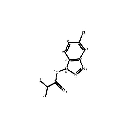 CC(C)C(=O)On1nnc2cc(Cl)ccc21